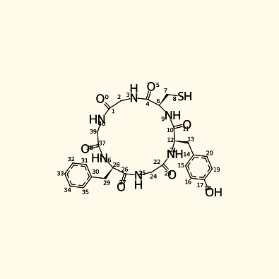 O=C1CNC(=O)[C@@H](CS)NC(=O)[C@@H](Cc2ccc(O)cc2)NC(=O)CNC(=O)[C@@H](Cc2ccccc2)NC(=O)CN1